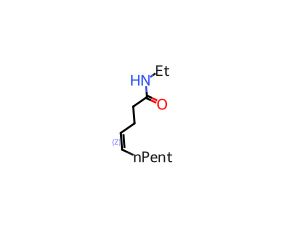 CCCCC/C=C\CCC(=O)NCC